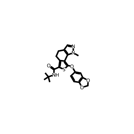 Cn1ncc2c1-c1c(Oc3ccc4c(c3)OCO4)sc(C(=O)NC(C)(C)C)c1CC2